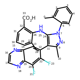 Cc1ccccc1-n1nc(C)c(-c2cc3nccnc3c(F)c2F)c1Nc1c(C)cccc1C(=O)O